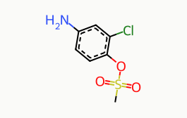 CS(=O)(=O)Oc1ccc(N)cc1Cl